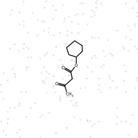 CC(=O)CC(=O)OC1CCCCC1